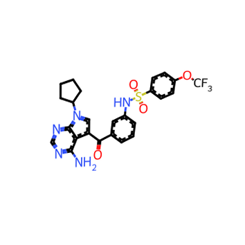 Nc1ncnc2c1c(C(=O)c1cccc(NS(=O)(=O)c3ccc(OC(F)(F)F)cc3)c1)cn2C1CCCC1